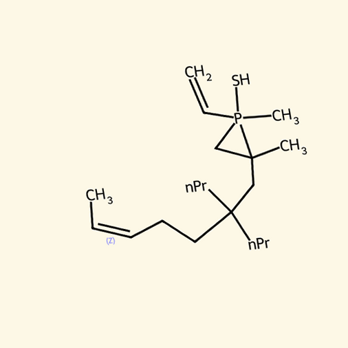 C=CP1(C)(S)CC1(C)CC(CCC)(CCC)CC/C=C\C